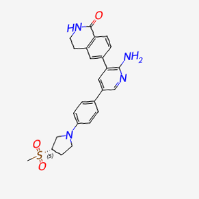 CS(=O)(=O)[C@H]1CCN(c2ccc(-c3cnc(N)c(-c4ccc5c(c4)CCNC5=O)c3)cc2)C1